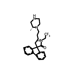 C[C@@H]1CNCCN1CCCCC1(C(=O)NCC(F)(F)F)c2ccccc2-c2ccccc21